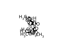 CC[C@H]1O[C@@H](n2c(=O)[nH]c3c(/N=C\N(C)C)ncnc32)[C@@H](O[Si](C)(C)C(C)(C)C)C1O